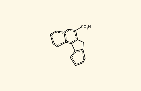 O=C(O)c1cc2ccccc2c2c1Cc1ccccc1-2